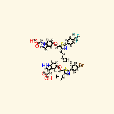 CCCCc1nc(-c2ccc(C(F)(F)F)cc2)sc1COc1ccc2c(ccn2CC(=O)O)c1.Cc1nc(-c2ccc(Br)cc2)sc1COc1ccc2[nH]cc(CC(=O)O)c2c1